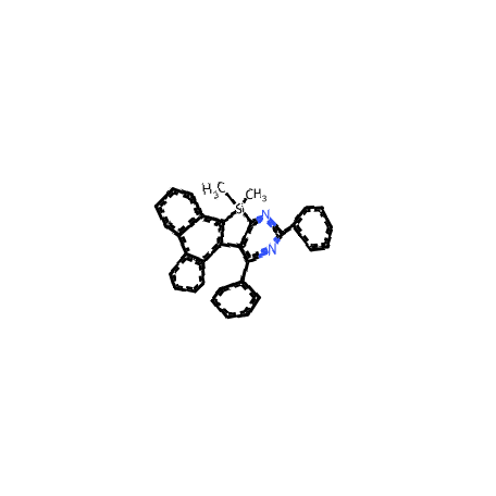 C[Si]1(C)c2nc(-c3ccccc3)nc(-c3ccccc3)c2-c2c1c1ccccc1c1ccccc21